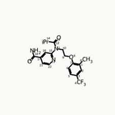 Cc1cc(C(F)(F)F)ccc1OCCN(C(=O)C(C)C)c1cc(C(N)=O)ccn1